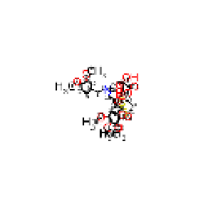 COc1ccc(CCN(C)CCCC2(c3cc(OC)c(OC)c(OC)c3)S(=O)(=O)CCCS2(=O)=O)cc1OC.O=C(O)C(=O)O